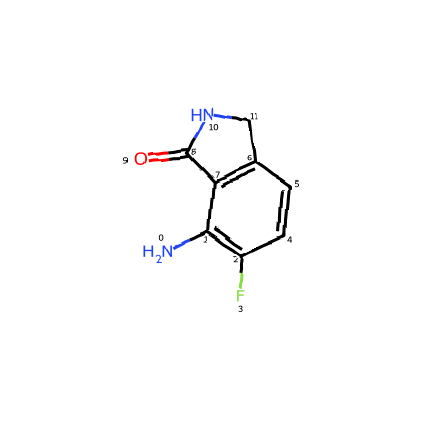 Nc1c(F)ccc2c1C(=O)NC2